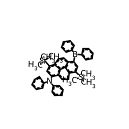 C[Si](C)(C)c1cc(B(c2ccccc2)c2ccccc2)c2ccc3c([Si](C)(C)C)cc(N(c4ccccc4)c4ccccc4)c4ccc1c2c43